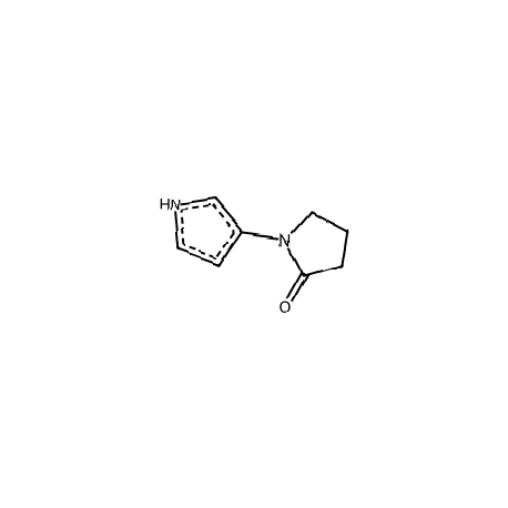 O=C1CCCN1c1cc[nH]c1